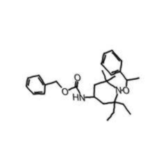 CCC1(CC)CC(NC(=O)OCc2ccccc2)CC(C)(C)N1OC(C)c1ccccc1